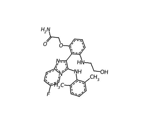 Cc1cccc(C)c1Nc1c(-c2c(NCCO)cccc2OCC(N)=O)nc2ccc(F)cn12